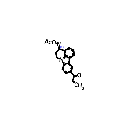 C=CC(=O)c1ccc2c(c1)c1cccc3c1n2CC/C3=N\OC(C)=O